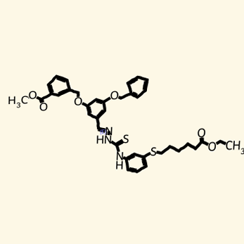 CCOC(=O)CCCCCSc1cccc(NC(=S)N/N=C/c2cc(OCc3ccccc3)cc(OCc3cccc(C(=O)OC)c3)c2)c1